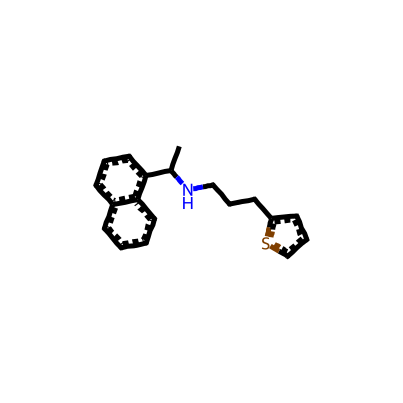 CC(NCCCc1cccs1)c1cccc2ccccc12